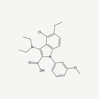 CCc1ccc2c(c1Cl)c(N(CC)CC)c(C(=O)O)n2-c1cccc(OC)c1